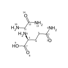 NC(=O)CC[C@H](N)C(=O)O.NCC(N)=O